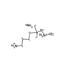 CC[SiH2]OC(C)(C)CCCCN.N